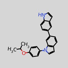 CC(C)Oc1ccc(-n2ccc3ccc(-c4ccc5[nH]ccc5c4)cc32)cc1